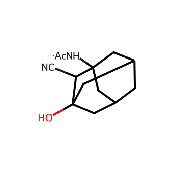 CC(=O)[N]C12CC3CC(CC(O)(C3)C1C#N)C2